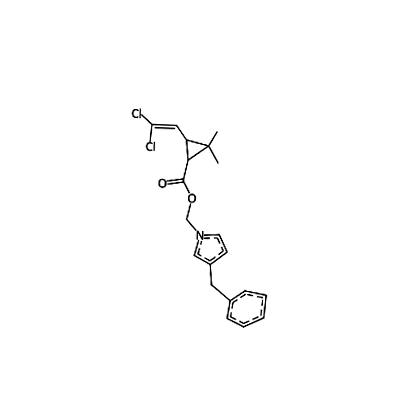 CC1(C)C(C=C(Cl)Cl)C1C(=O)OCn1ccc(Cc2ccccc2)c1